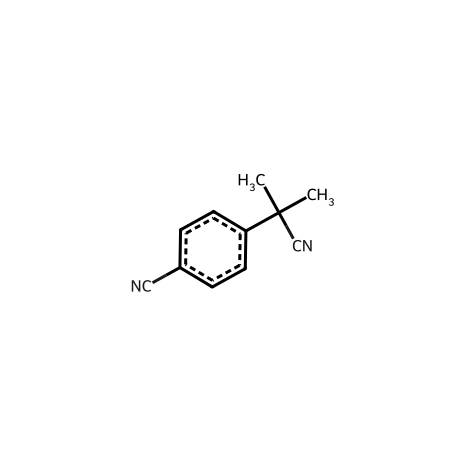 CC(C)(C#N)c1ccc(C#N)cc1